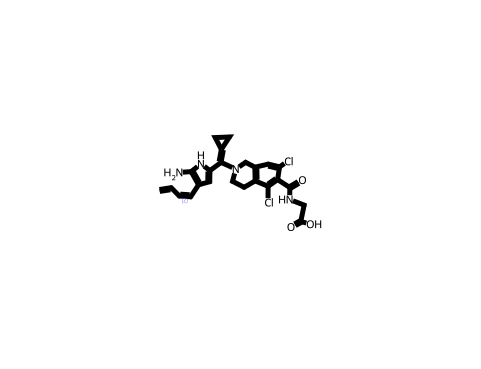 C=C/C=C\c1cc(C(=C2CC2)N2CCc3c(cc(Cl)c(C(=O)NCC(=O)O)c3Cl)C2)[nH]c1N